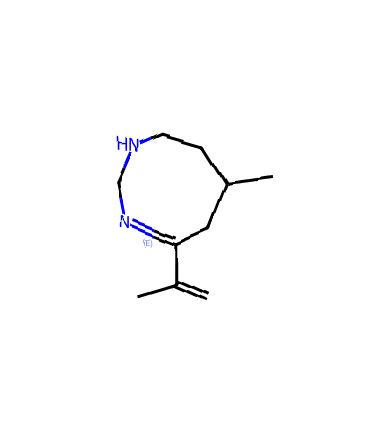 C=C(C)/C1=N/CNCCC(C)C1